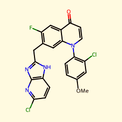 COc1ccc(-n2ccc(=O)c3cc(F)c(Cc4nc5nc(Cl)ccc5[nH]4)cc32)c(Cl)c1